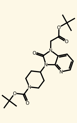 CC(C)(C)OC(=O)Cn1c(=O)n(C2CCN(C(=O)OC(C)(C)C)CC2)c2ncccc21